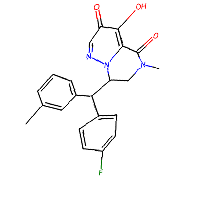 Cc1cccc(C(c2ccc(F)cc2)C2CN(C)C(=O)c3c(O)c(=O)cnn32)c1